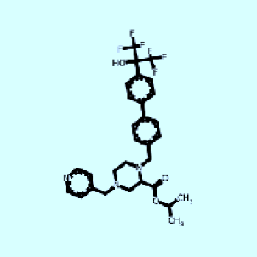 CC(C)OC(=O)C1CN(Cc2ccncc2)CCN1Cc1ccc(-c2ccc(C(O)(C(F)(F)F)C(F)(F)F)cc2)cc1